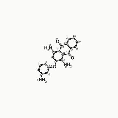 Nc1cccc(Oc2cc(N)c3c(c2N)C(=O)c2ccccc2C3=O)c1